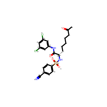 CC(=O)CCCCC[C@H](NS(=O)(=O)c1ccc(C#N)cc1)C(=O)Nc1cc(Cl)cc(Cl)c1